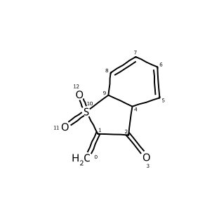 C=C1C(=O)C2C=CC=CC2S1(=O)=O